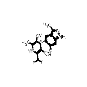 CC1=C(C#N)[C@H](c2cc3c(C)n[nH]c3cc2F)C(C#N)=C(C(F)F)N1